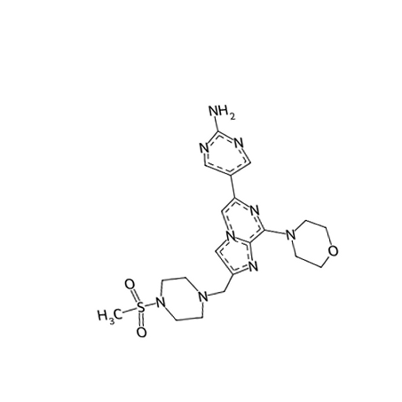 CS(=O)(=O)N1CCN(Cc2cn3cc(-c4cnc(N)nc4)nc(N4CCOCC4)c3n2)CC1